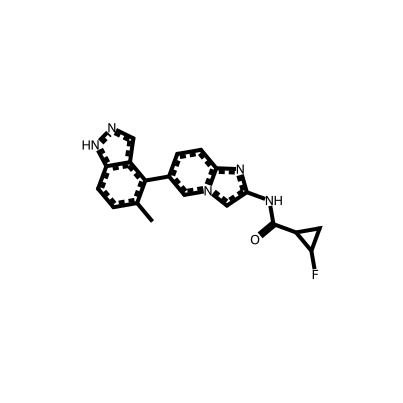 Cc1ccc2[nH]ncc2c1-c1ccc2nc(NC(=O)C3CC3F)cn2c1